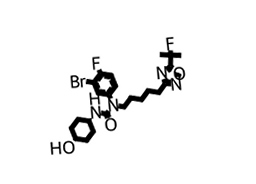 CC(C)(F)c1nc(CCCCCN(C(=O)N[C@H]2CC[C@H](O)CC2)c2ccc(F)c(Br)c2)no1